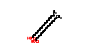 CCCCCCCCCCCCCCCC=CC=CC(=O)O.CCCCCCCCCCCCCCCCCCCC(=O)O